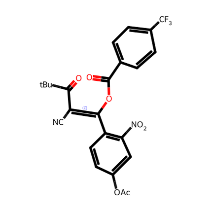 CC(=O)Oc1ccc(/C(OC(=O)c2ccc(C(F)(F)F)cc2)=C(\C#N)C(=O)C(C)(C)C)c([N+](=O)[O-])c1